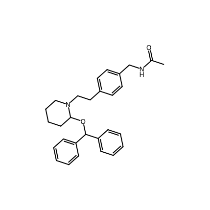 CC(=O)NCc1ccc(CCN2CCCCC2OC(c2ccccc2)c2ccccc2)cc1